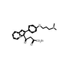 CCOC(=O)C(=O)CC(=O)c1c(-c2ccc(OCCCN(C)C)cc2)cc2ccccn12